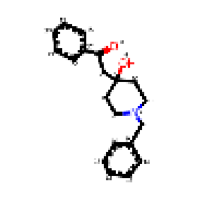 O=C(CC1(O)CCN(Cc2ccccc2)CC1)c1ccccc1